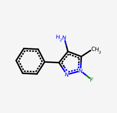 Cc1c(N)c(-c2ccccc2)nn1F